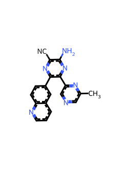 Cc1cncc(-c2nc(N)c(C#N)nc2-c2ccc3ncccc3c2)n1